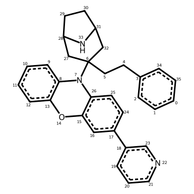 c1ccc(CCC2(N3c4ccccc4Oc4cc(-c5cccnc5)ccc43)CC3CCC(C2)N3)cc1